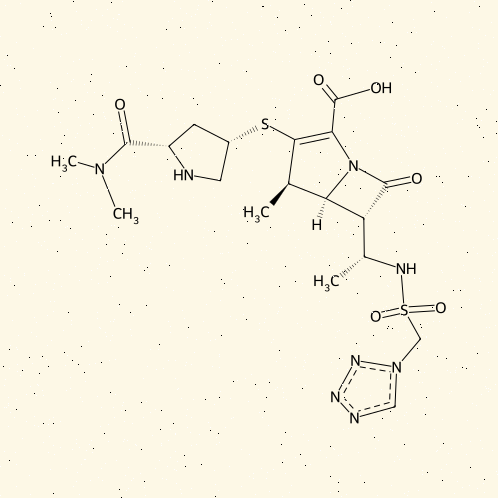 C[C@@H](NS(=O)(=O)Cn1cnnn1)[C@H]1C(=O)N2C(C(=O)O)=C(S[C@@H]3CN[C@H](C(=O)N(C)C)C3)[C@H](C)[C@H]12